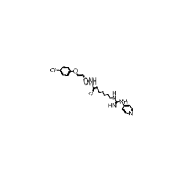 N=C(NCCCCCCC(=O)NOCCOc1ccc(Cl)cc1)Nc1ccncc1